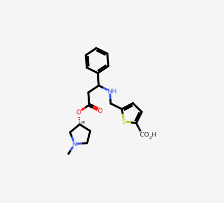 CN1CC[C@@H](OC(=O)CC(NCc2ccc(C(=O)O)s2)c2ccccc2)C1